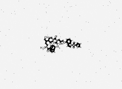 CCC(CCN(C)C(=O)C12CC3CC(CC(C3)C1)C2)C1CCN(C(=O)N(CC(O)COc2cccc3c2ccn3S(=O)(=O)c2cccs2)C(C)C)CC1